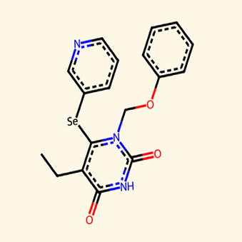 CCc1c([Se]c2cccnc2)n(COc2ccccc2)c(=O)[nH]c1=O